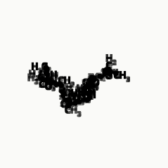 C=C(CNC(=O)[C@@H](NC(=C)CC)C(C)C)NC[C@@H](O)C[C@H]1O[C@@H](C)[C@H](CC(=O)C[C@H]2CC[C@@H]3OC4C5OC6C[C@@](CC[C@H]7CC(=C)[C@H](CC)O7)(O[C@@H]64)O[C@H]5[C@H]3O2)[C@H]1C